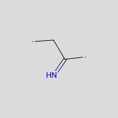 [CH2]CC([CH2])=N